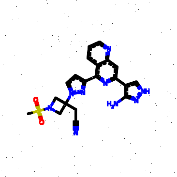 CS(=O)(=O)N1CC(CC#N)(n2ccc(-c3nc(-c4c[nH]nc4N)cc4ncccc34)n2)C1